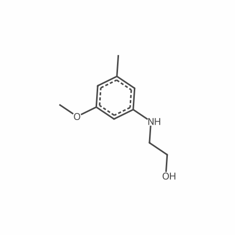 COc1cc(C)cc(NCCO)c1